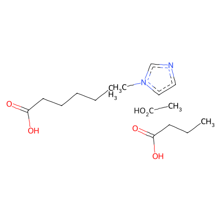 CC(=O)O.CCCC(=O)O.CCCCCC(=O)O.Cn1ccnc1